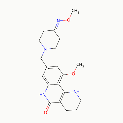 CON=C1CCN(Cc2cc(OC)c3c4c(c(=O)[nH]c3c2)CCCN4)CC1